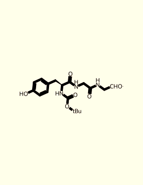 CC(C)(C)OC(=O)N[C@@H](Cc1ccc(O)cc1)C(=O)NCC(=O)NC[C]=O